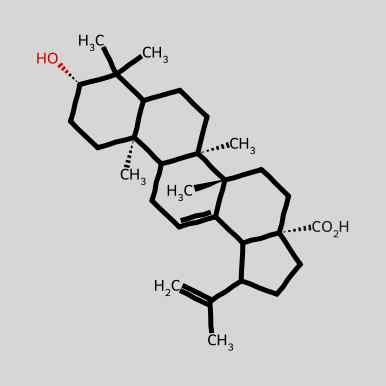 C=C(C)C1CC[C@]2(C(=O)O)CC[C@]3(C)C(=CCC4[C@@]5(C)CC[C@H](O)C(C)(C)C5CC[C@]43C)C12